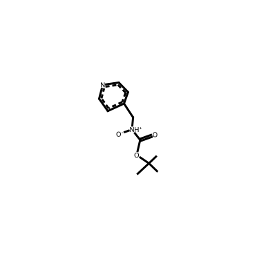 CC(C)(C)OC(=O)[NH+]([O-])Cc1ccncc1